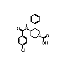 CN(C(=O)c1ccc(Cl)cc1)[C@@H]1CCN(C(=O)O)C[C@H]1c1ccccc1